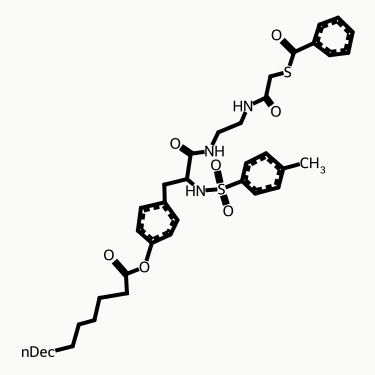 CCCCCCCCCCCCCCCC(=O)Oc1ccc(CC(NS(=O)(=O)c2ccc(C)cc2)C(=O)NCCNC(=O)CSC(=O)c2ccccc2)cc1